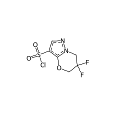 O=S(=O)(Cl)c1cnn2c1OCC(F)(F)C2